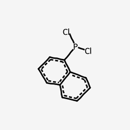 ClP(Cl)c1cccc2ccccc12